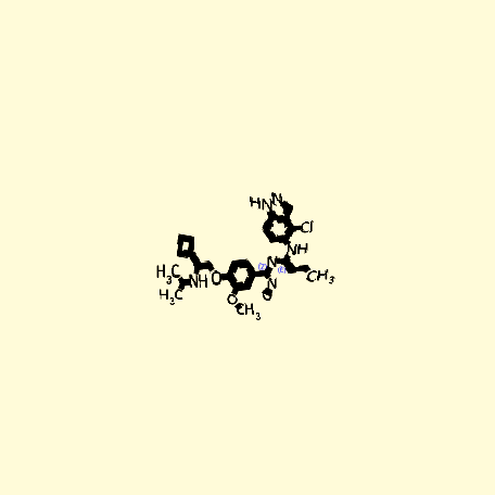 CC/C=C(/N=C(\N=O)c1ccc(OCC(NC(C)C)=C2CCC2)c(OC)c1)Nc1ccc2[nH]ncc2c1Cl